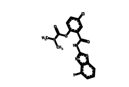 CN(C)C(=O)Oc1ccc(Cl)cc1C(=O)Nc1nc2c(F)cccc2s1